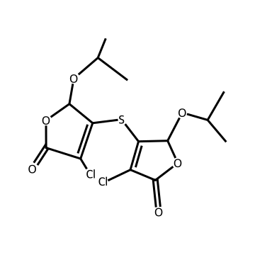 CC(C)OC1OC(=O)C(Cl)=C1SC1=C(Cl)C(=O)OC1OC(C)C